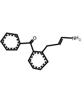 NC=CCc1ccccc1C(=O)c1ccccc1